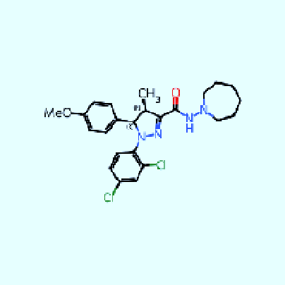 COc1ccc([C@H]2[C@@H](C)C(C(=O)NN3CCCCCC3)=NN2c2ccc(Cl)cc2Cl)cc1